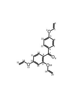 C=COc1ccc(C(=O)c2ccc(OC=C)cc2OC=C)cc1